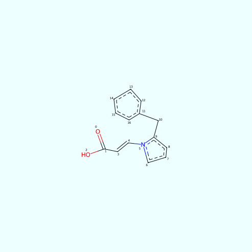 O=C(O)C=Cn1cccc1Cc1ccccc1